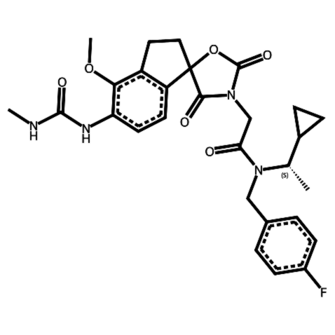 CNC(=O)Nc1ccc2c(c1OC)CCC21OC(=O)N(CC(=O)N(Cc2ccc(F)cc2)[C@@H](C)C2CC2)C1=O